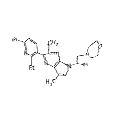 CCc1nc(C(C)C)ccc1-c1nc2c(C)cn(C(CC)CN3CCOCC3)c2cc1C